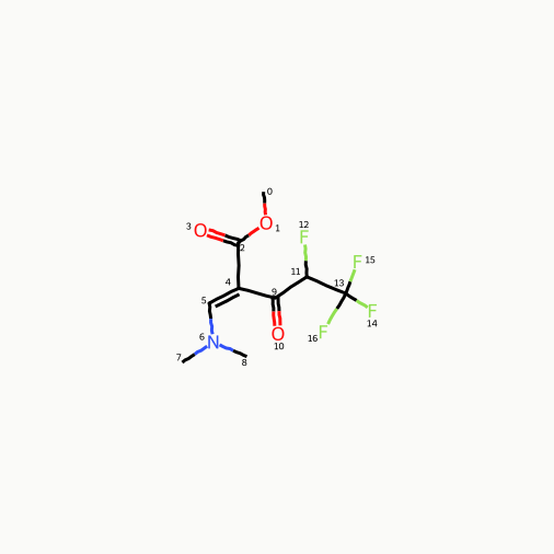 COC(=O)C(=CN(C)C)C(=O)C(F)C(F)(F)F